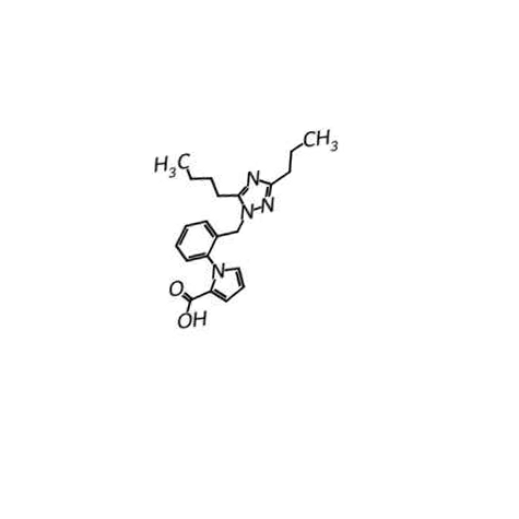 CCCCc1nc(CCC)nn1Cc1ccccc1-n1cccc1C(=O)O